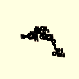 Cc1nsc(Nc2ccc(C#N)cn2)c1C(=O)Nc1ccc(OCCCNC(=O)O)nc1